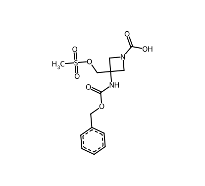 CS(=O)(=O)OCC1(NC(=O)OCc2ccccc2)CN(C(=O)O)C1